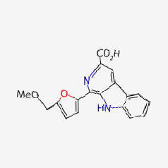 COCc1ccc(-c2nc(C(=O)O)cc3c2[nH]c2ccccc23)o1